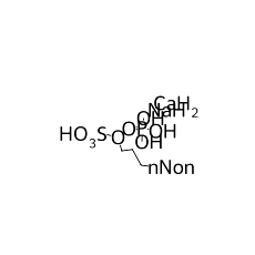 CCCCCCCCCCCCOS(=O)(=O)O.O=P(O)(O)O.[CaH2].[NaH]